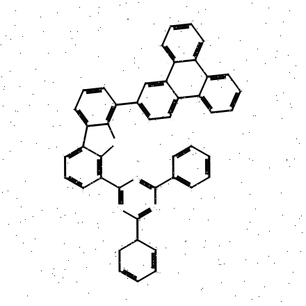 C1=CCC(c2nc(-c3ccccc3)nc(-c3cccc4c3sc3c(-c5ccc6c7ccccc7c7ccccc7c6c5)cccc34)n2)C=C1